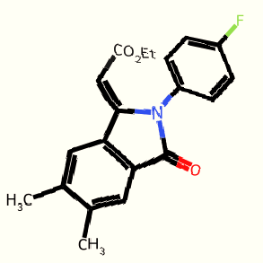 CCOC(=O)/C=C1/c2cc(C)c(C)cc2C(=O)N1c1ccc(F)cc1